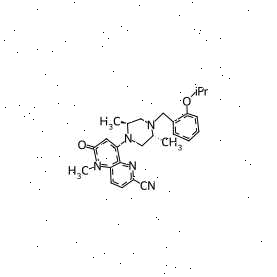 CC(C)Oc1ccccc1CN1C[C@H](C)N(c2cc(=O)n(C)c3ccc(C#N)nc23)C[C@H]1C